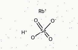 O=[Se](=O)([O-])[O-].[H+].[Rb+]